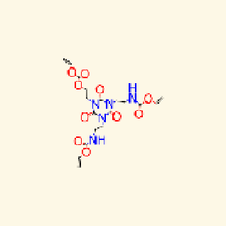 C=COC(=O)NCCn1c(=O)n(CCNC(=O)OC=C)c(=O)n(CCOC(=O)OC=C)c1=O